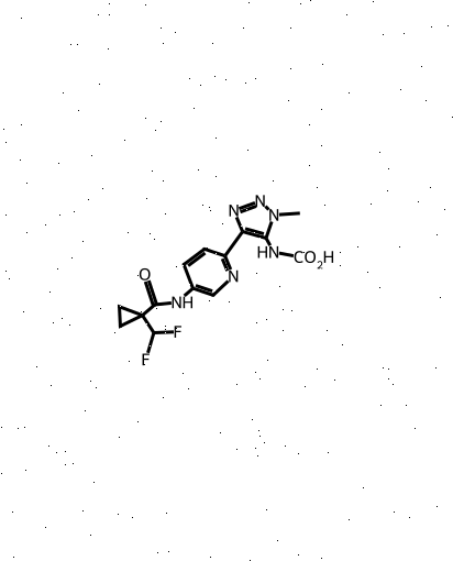 Cn1nnc(-c2ccc(NC(=O)C3(C(F)F)CC3)cn2)c1NC(=O)O